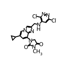 CN1C(=O)CN(c2cc(C3CC3)cn3cc(CNc4cc(Cl)nnc4Cl)nc23)C1=O